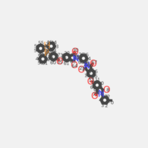 Cc1cccc(N2C(=O)c3ccc(Oc4ccc5c(c4)C(=O)N(c4cccc(N6C(=O)c7ccc(Oc8ccc([PH](c9ccccc9)(c9ccccc9)c9ccccc9)cc8)cc7C6=O)c4)C5=O)cc3C2=O)c1